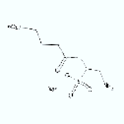 CCCCCCCCCCCC(=O)CC(CN)S(=O)(=O)[O-].[Na+]